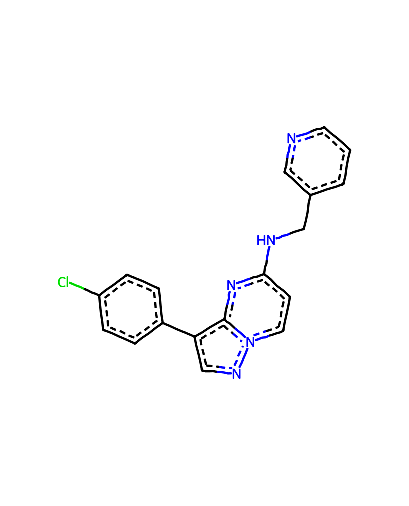 Clc1ccc(-c2cnn3ccc(NCc4cccnc4)nc23)cc1